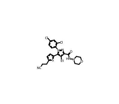 CCc1c(C(=O)NN2CCOCC2)nn(-c2ccc(Cl)cc2Cl)c1-c1ccc(CCC#N)s1